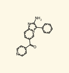 Nc1nc2ccc(C(=O)c3ccncc3)cn2c1-c1ccccc1